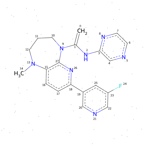 C=C(Nc1cnccn1)N1CCCN(C)c2ccc(-c3cncc(F)c3)nc21